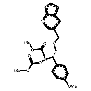 COc1ccc([C@@H](CSCc2cnc3sccc3c2)N(OC(=O)OC(C)(C)C)C(=O)OC(C)(C)C)cc1